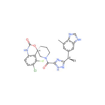 CC[C@H](c1cc(C)c2nc[nH]c2c1)c1n[nH]c(C(=O)N2CCC[C@@]3(C2)OC(=O)Nc2ccc(Cl)c(F)c23)n1